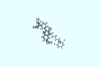 C[C@@H]1CCC[C@H](C)N1CCCCCn1c(=O)c(-c2cccc(C(=N)N)c2)nc2ccc(O)cc21